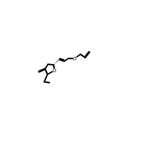 C=CCOC/C=C/[C@H]1CC(=C)C(CC)O1